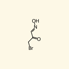 O=C(C=NO)CBr